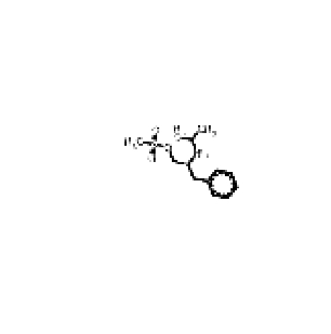 CC(C)N[C@H](COS(C)(=O)=O)Cc1ccccc1